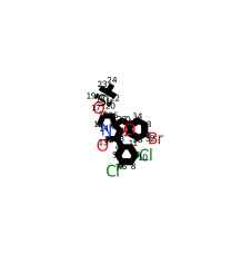 COC1=C(c2cc(Cl)cc(Cl)c2)C(=O)N2CC(O[Si](C)(C)C(C)(C)C)CC12Cc1ccc(Br)cc1